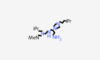 CNCCN(CCNCC(CCN)N1CCN(CCCC(C)C)CC1)CCC(C)C